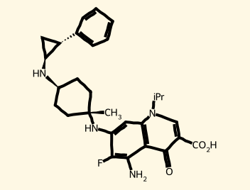 CC(C)n1cc(C(=O)O)c(=O)c2c(N)c(F)c(N[C@]3(C)CC[C@@H](N[C@H]4C[C@@H]4c4ccccc4)CC3)cc21